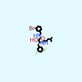 CC(C)CCC(=O)N[C@@H](Cc1cc(F)cc(F)c1)[C@H](O)CNCc1cccc(Br)c1